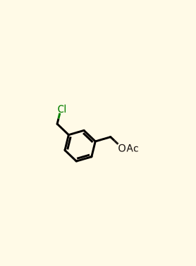 CC(=O)OCc1cccc(CCl)c1